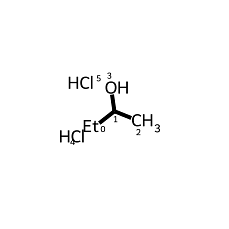 CCC(C)O.Cl.Cl